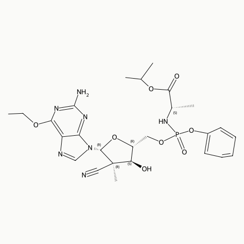 CCOc1nc(N)nc2c1ncn2[C@@H]1O[C@H](COP(=O)(N[C@@H](C)C(=O)OC(C)C)Oc2ccccc2)[C@@H](O)[C@@]1(C)C#N